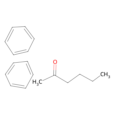 CCCCC(C)=O.c1ccccc1.c1ccccc1